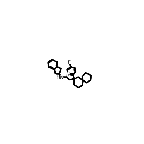 Fc1ccc(C2(CCNC3Cc4ccccc4C3)CCCC3(CCCCC3)C2)nc1